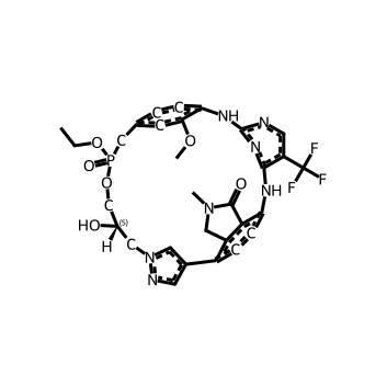 CCOP1(=O)Cc2ccc(c(OC)c2)Nc2ncc(C(F)(F)F)c(n2)Nc2ccc(c3c2C(=O)N(C)C3)-c2cnn(c2)C[C@H](O)CO1